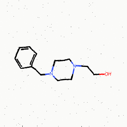 OCCN1CCN(Cc2cc[c]cc2)CC1